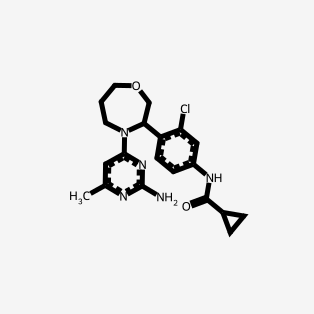 Cc1cc(N2CCCOCC2c2ccc(NC(=O)C3CC3)cc2Cl)nc(N)n1